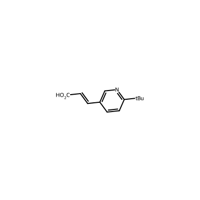 CC(C)(C)c1ccc(C=CC(=O)O)cn1